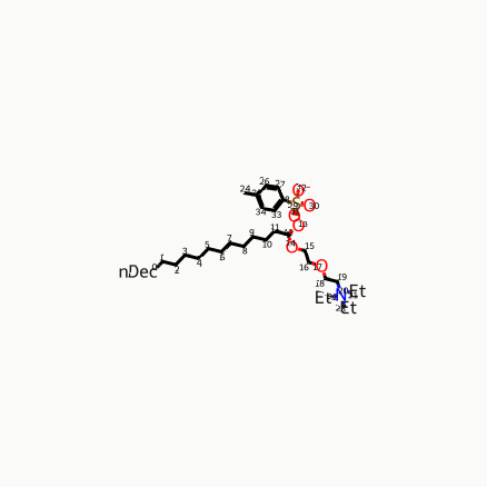 CCCCCCCCCCCCCCCCCCCCCC(=O)OCCOCC[N+](CC)(CC)CC.Cc1ccc(S(=O)(=O)[O-])cc1